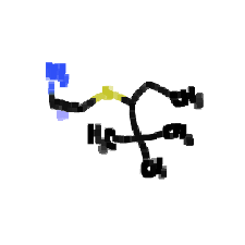 CCC(S/C=C\N)C(C)(C)C